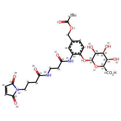 CC(C)(C)C(=O)OCc1ccc(O[C@@H]2O[C@H](C(=O)O)[C@H](O)[C@H](O)[C@@H]2O)c(NC(=O)CCNC(=O)CCCN2C(=O)C=CC2=O)c1